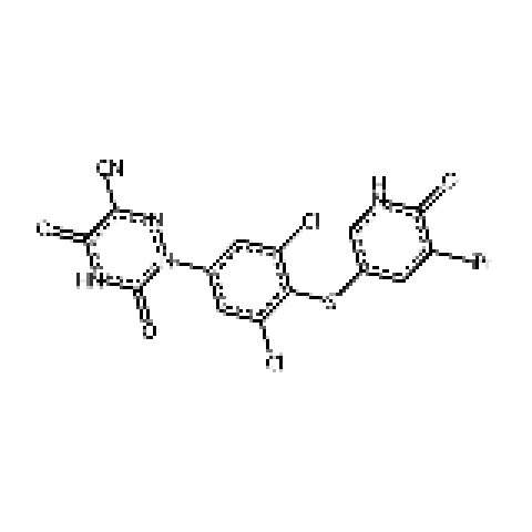 CC(C)c1cc(Sc2c(Cl)cc(-n3nc(C#N)c(=O)[nH]c3=O)cc2Cl)c[nH]c1=O